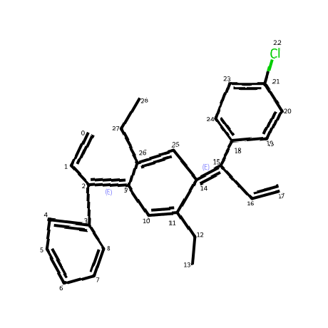 C=C/C(c1ccccc1)=c1/cc(CC)/c(=C(\C=C)c2ccc(Cl)cc2)cc1CC